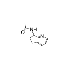 CC(=O)N[C@@H]1CCc2cccnc21